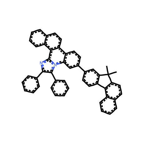 CC1(C)c2cc(-c3ccc4c5ccc6ccccc6c5c5nc(-c6ccccc6)c(-c6ccccc6)n5c4c3)ccc2-c2c1ccc1ccccc21